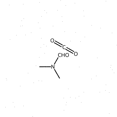 CN(C)C=O.O=C=O